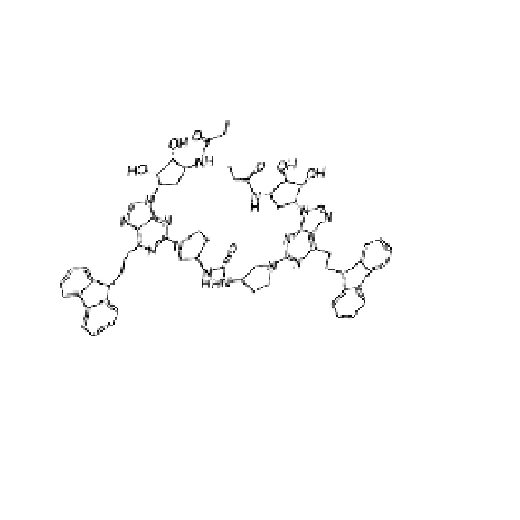 CCC(=O)N[C@H]1C[C@@H](n2cnc3c(CCC4c5ccccc5-c5ccccc54)nc(N4CC[C@@H](NC(=O)N[C@@H]5CCN(c6nc(CCC7c8ccccc8-c8ccccc87)c7ncn([C@@H]8C[C@H](NC(=O)CC)[C@@H](O)[C@H]8O)c7n6)C5)C4)nc32)[C@H](O)[C@@H]1O